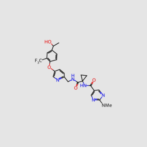 CNc1ncc(C(=O)NC2(C(=O)NCc3ccc(Oc4ccc(C(C)O)cc4C(F)(F)F)cn3)CC2)cn1